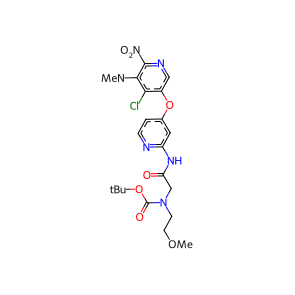 CNc1c([N+](=O)[O-])ncc(Oc2ccnc(NC(=O)CN(CCOC)C(=O)OC(C)(C)C)c2)c1Cl